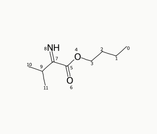 CCCCOC(=O)C(=N)C(C)C